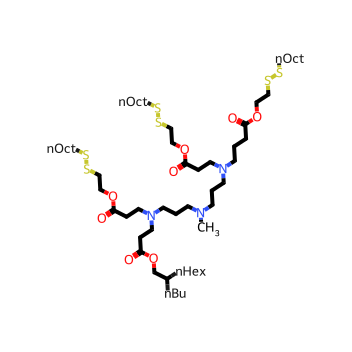 CCCCCCCCSSCCOC(=O)CCCN(CCCN(C)CCCN(CCC(=O)OCCSSCCCCCCCC)CCC(=O)OCC(CCCC)CCCCCC)CCC(=O)OCCSSCCCCCCCC